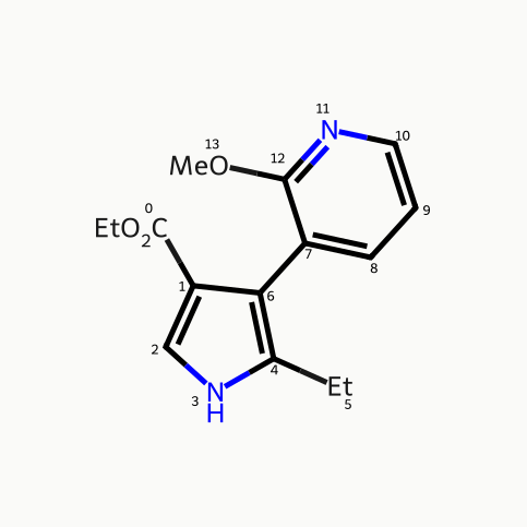 CCOC(=O)c1c[nH]c(CC)c1-c1cccnc1OC